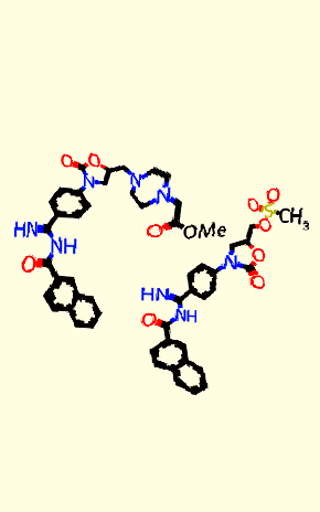 COC(=O)CN1CCN(CC2CN(c3ccc(C(=N)NC(=O)c4ccc5ccccc5c4)cc3)C(=O)O2)CC1.CS(=O)(=O)OCC1CN(c2ccc(C(=N)NC(=O)c3ccc4ccccc4c3)cc2)C(=O)O1